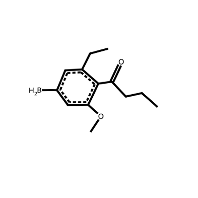 Bc1cc(CC)c(C(=O)CCC)c(OC)c1